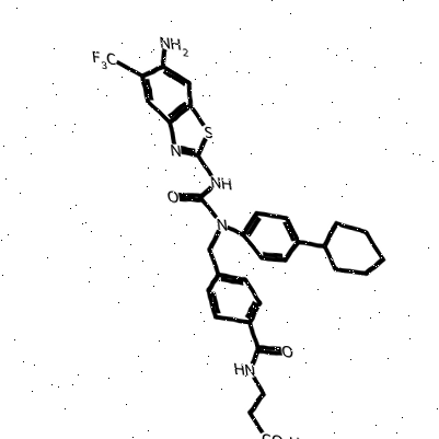 Nc1cc2sc(NC(=O)N(Cc3ccc(C(=O)NCCC(=O)O)cc3)c3ccc(C4CCCCC4)cc3)nc2cc1C(F)(F)F